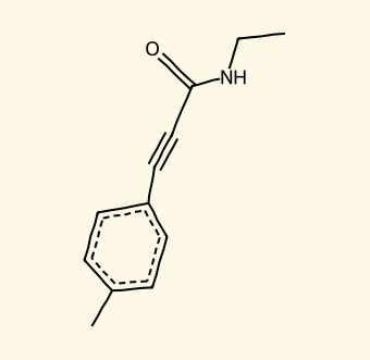 CCNC(=O)C#Cc1ccc(C)cc1